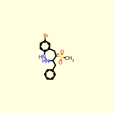 CS(=O)(=O)[C@@H]1Cc2cc(Br)ccc2NNC1Cc1ccccc1